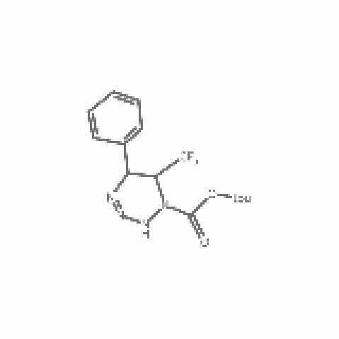 CC(C)(C)OC(=O)N1NN=NC(c2ccccc2)C1C(F)(F)F